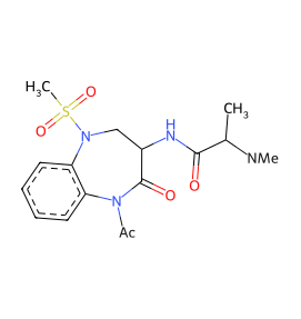 CNC(C)C(=O)NC1CN(S(C)(=O)=O)c2ccccc2N(C(C)=O)C1=O